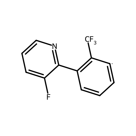 Fc1cccnc1-c1ccc[c]c1C(F)(F)F